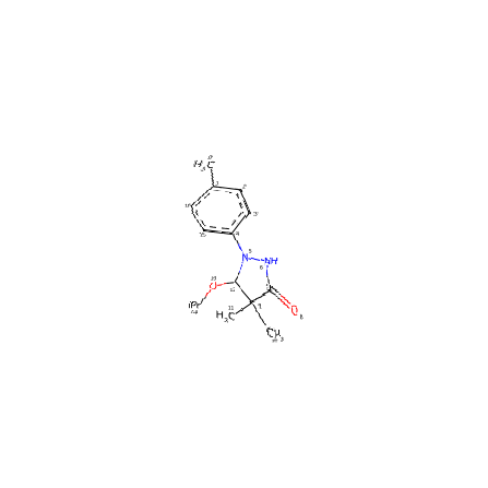 Cc1ccc(N2NC(=O)C(C)(C)C2OC(C)C)cc1